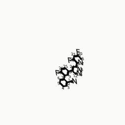 N#Cc1ccccc1-c1cc(-c2cnnc(-c3ncc(F)cc3F)c2)ccc1F